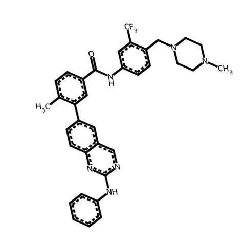 Cc1ccc(C(=O)Nc2ccc(CN3CCN(C)CC3)c(C(F)(F)F)c2)cc1-c1ccc2nc(Nc3ccccc3)ncc2c1